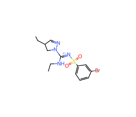 CCN/C(=N\S(=O)(=O)c1cccc(Br)c1)N1CC(CC)C=N1